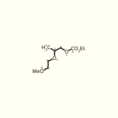 CCOC(=O)OCC(C)OCCOC